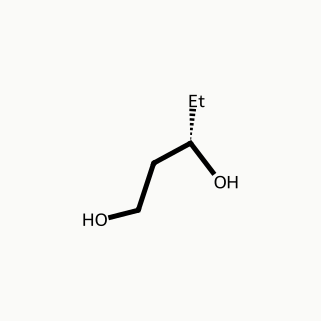 [CH2]C[C@H](O)CCO